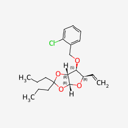 C=C[C@H]1O[C@@H]2OC(CCC)(CCC)O[C@@H]2[C@H]1OCc1ccccc1Cl